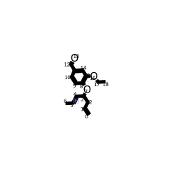 C=CCC(/C=C/C)Oc1ccc(C=O)cc1OCC